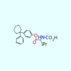 CC(C)C(NC(=O)O)C(=O)Oc1ccc(C2(c3ccccc3)CCCCC2)cc1